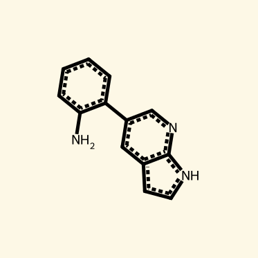 Nc1ccccc1-c1cnc2[nH]ccc2c1